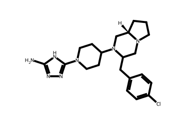 Nc1nnc(N2CCC(N3C[C@@H]4CCCN4CC3Cc3ccc(Cl)cc3)CC2)[nH]1